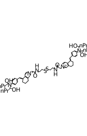 CCCC(O)N(c1ccc(/C=C2\CCCc3c[n+](CC(=O)NCCSSCCNC(=O)C[n+]4ccc5c(c4)CCC/C5=C\c4ccc(N(C(O)CCC)C(O)CCC)cc4)ccc32)cc1)C(O)CCC